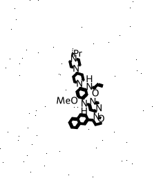 C=CC(=O)Nc1cc(Nc2cc(N3OCCC3c3ccc4ccccc4c3)ncn2)c(OC)cc1N1CCC(N2CCN(C(C)C)CC2)CC1